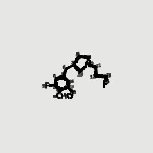 O=Cc1c(F)cc(C[C@H]2CCN(CCCF)C2)cc1F